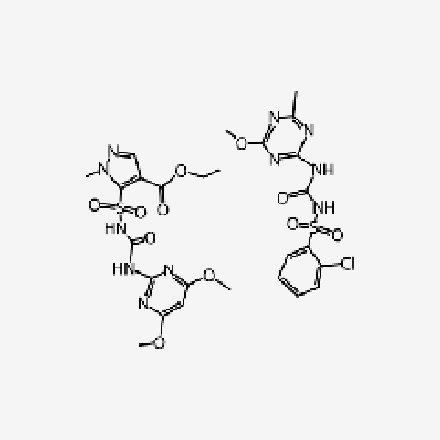 CCOC(=O)c1cnn(C)c1S(=O)(=O)NC(=O)Nc1nc(OC)cc(OC)n1.COc1nc(C)nc(NC(=O)NS(=O)(=O)c2ccccc2Cl)n1